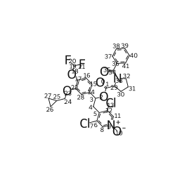 O=C(OC(Cc1c(Cl)c[n+]([O-])cc1Cl)c1ccc(OC(F)F)c(OCC2CC2)c1)C1CCCN1C(=O)c1ccccc1